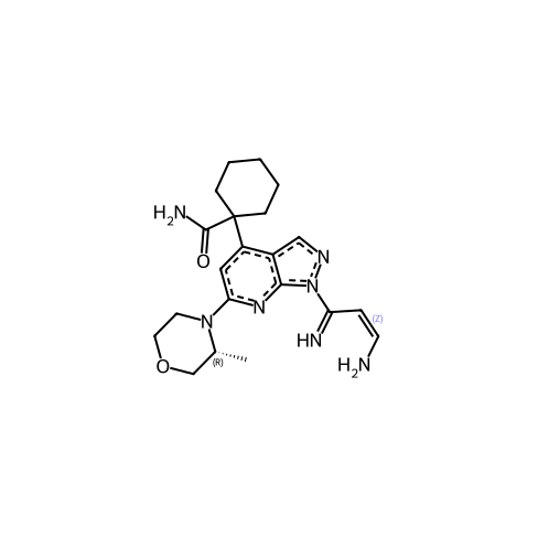 C[C@@H]1COCCN1c1cc(C2(C(N)=O)CCCCC2)c2cnn(C(=N)/C=C\N)c2n1